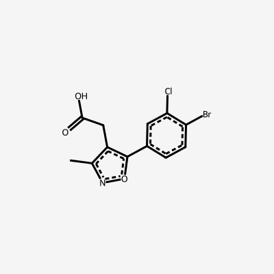 Cc1noc(-c2ccc(Br)c(Cl)c2)c1CC(=O)O